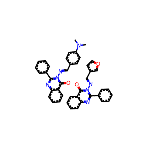 CN(C)c1ccc(/C=N/n2c(-c3ccccc3)nc3ccccc3c2=O)cc1.O=c1c2ccccc2nc(-c2ccccc2)n1/N=C/c1ccoc1